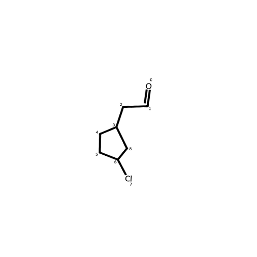 O=CCC1CCC(Cl)C1